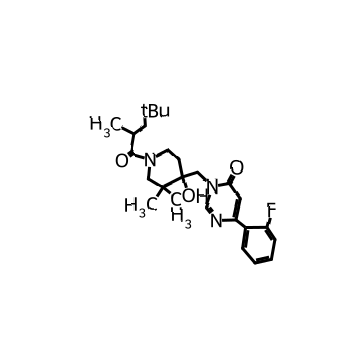 CC(CC(C)(C)C)C(=O)N1CCC(O)(Cn2cnc(-c3ccccc3F)cc2=O)C(C)(C)C1